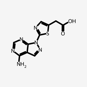 Nc1ncnc2c1cnn2-c1ncc(CC(=O)O)s1